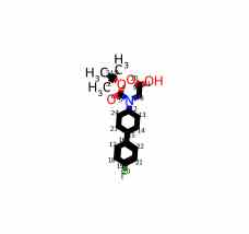 CC(C)(C)OC(=O)N(CC(=O)O)C1CCC(c2ccc(F)cc2)CC1